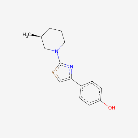 C[C@H]1CCCN(c2nc(-c3ccc(O)cc3)cs2)C1